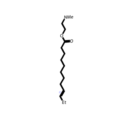 CC/C=C/CCCCCCCC(=O)OCCNC